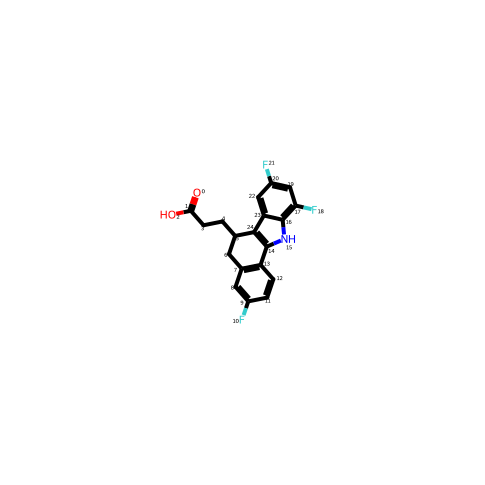 O=C(O)CCC1Cc2cc(F)ccc2-c2[nH]c3c(F)cc(F)cc3c21